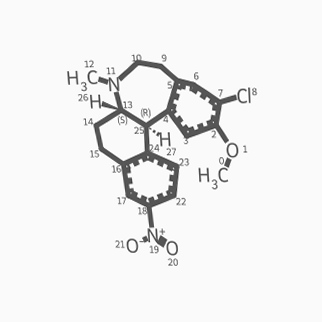 COc1cc2c(cc1Cl)CCN(C)[C@H]1CCc3cc([N+](=O)[O-])ccc3[C@H]21